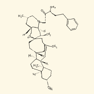 CC1=C2C[C@H]3[C@@H](CC[C@@H]4CC(O)CC[C@@]43C)[C@@H]2CC[C@@]2(C1)O[C@@H]1C[C@H](C)CN(CC(=O)N(C)CCc3ccccc3)[C@H]1[C@H]2C